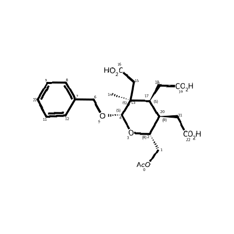 CC(=O)OC[C@@H]1O[C@H](OCc2ccccc2)[C@@](C)(CC(=O)O)[C@@H](CC(=O)O)[C@H]1CC(=O)O